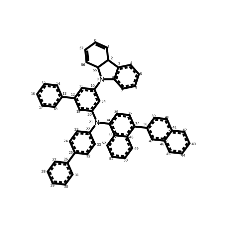 C1=CC2c3ccccc3N(c3cc(-c4ccccc4)cc(N(c4ccc(-c5ccccc5)cc4)c4ccc(-c5ccc6ccccc6c5)c5ccccc45)c3)C2C=C1